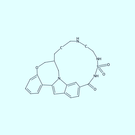 O=C1NS(=O)(=O)NCCNCCCC2COc3ccccc3-c3cc4ccc1cc4n3C2